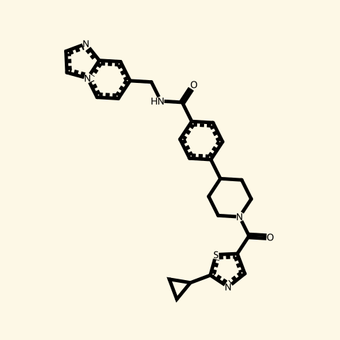 O=C(NCc1ccn2ccnc2c1)c1ccc(C2CCN(C(=O)c3cnc(C4CC4)s3)CC2)cc1